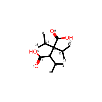 CC(C)C(C(=O)O)C(C(=O)O)(C(C)C)C(C)C